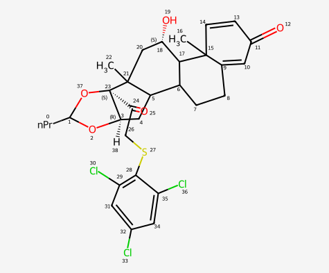 CCCC1O[C@@H]2CC3C4CCC5=CC(=O)C=CC5(C)C4[C@@H](O)CC3(C)[C@]2(C(=O)CSc2c(Cl)cc(Cl)cc2Cl)O1